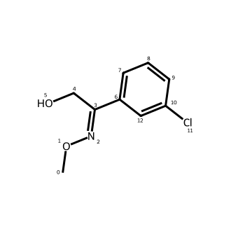 CON=C(CO)c1cccc(Cl)c1